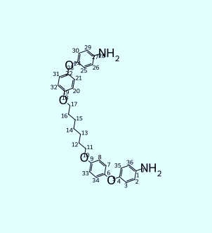 Nc1ccc(Oc2ccc(OCCCCCCCOc3ccc(Oc4ccc(N)cc4)cc3)cc2)cc1